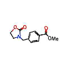 COC(=O)c1ccc(CN2CCOC2=O)cc1